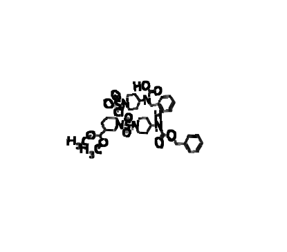 COC(OC)C1CCCN(S(=O)(=O)N2CCC(NC(=O)OCc3ccccc3)CC2)C1.O=C(O)N(Cc1ccccc1)C1CCN(S(=O)(=O)Cl)CC1